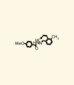 C#C/C=C\c1c(C)cccc1/C=N/NC(=O)c1ccc(OC)cc1